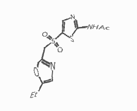 CCc1cnc(CS(=O)(=O)c2cnc(NC(C)=O)s2)o1